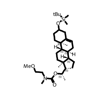 COCCN(C)C(=O)O[C@@H](C)[C@H]1CC[C@H]2[C@@H]3CC=C4CC(O[Si](C)(C)C(C)(C)C)CC[C@]4(C)[C@H]3CC[C@]12C